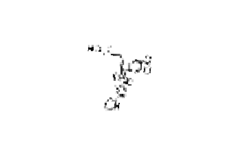 O=C(O)CCc1cn(S(=O)(=O)c2ccc(-c3ccccn3)s2)c2cc3c(cc12)OCO3